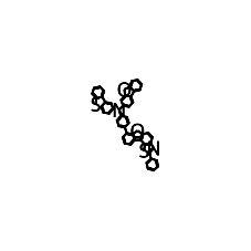 c1ccc(-c2nc3ccc4oc5c(-c6ccc(N(c7ccc8c(c7)oc7ccccc78)c7ccc8sc9ccccc9c8c7)cc6)cccc5c4c3s2)cc1